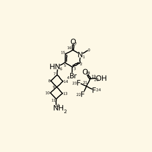 Cn1cc(Br)c(NC2CC3(CC(N)C3)C2)cc1=O.O=C(O)C(F)(F)F